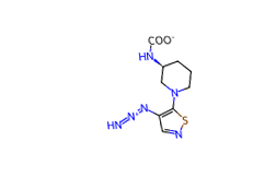 N=[N+]=Nc1cnsc1N1CCC[C@H](NC(=O)[O-])C1